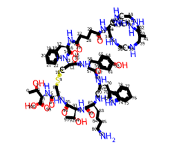 CC(O)[C@H](NC(=O)[C@@H]1CSSC[C@H](NC(=O)[C@@H](Cc2ccccc2)NC(=O)CCCC(=O)NC23CNCCNCC(C)(CNCCNC2)CNCCNC3)C(=O)N[C@@H](Cc2ccc(O)cc2)C(=O)N[C@H](Cc2c[nH]c3ccccc23)CN[C@@H](CCCCN)C(=O)N[C@@H](C(C)O)C(=O)N1)C(=O)O